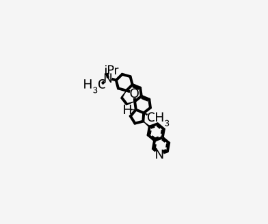 CC(C)N(C)C1CCC2=CC3=CC[C@]4(C)[C@@H](c5ccc6ccncc6c5)CC[C@H]4[C@@]34CC[C@]2(C1)O4